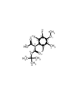 COc1c(C)c(F)c(N(C(=O)O)C(=O)OC(C)(C)C)c(F)c1F